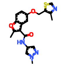 Cc1ncsc1COc1ccc2oc(C)c(C(=O)Nc3cnn(C)c3)c2c1